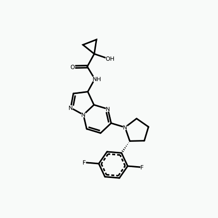 O=C(NC1C=NN2C=CC(N3CCC[C@@H]3c3cc(F)ccc3F)=NC12)C1(O)CC1